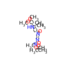 COc1ccc(-c2[nH]c3ccc(C(=O)N4CC5CN(C(=O)CN(C)C(=O)OC(C)(C)C)CC5C4)cc3c2C(C)C)cc1OC